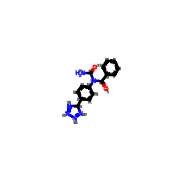 NC(=O)N(C(=O)c1ccccc1)c1ccc(C2N=NN=N2)cc1